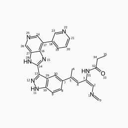 C=N/C=C(\C=C(/C)c1ccc2[nH]nc(-c3nc4c(-c5cccnc5)cncc4[nH]3)c2c1)NC(=O)CC